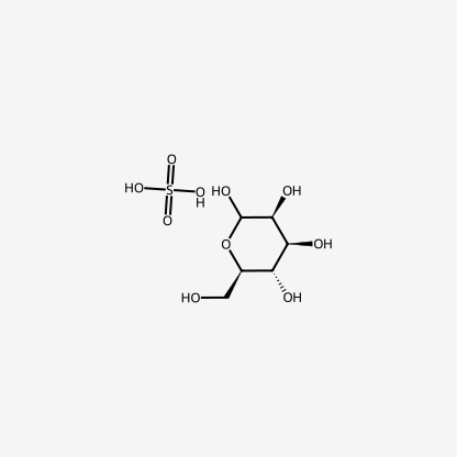 O=S(=O)(O)O.OC[C@H]1OC(O)[C@@H](O)[C@@H](O)[C@@H]1O